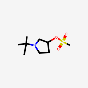 CC(C)(C)N1CCC(OS(C)(=O)=O)C1